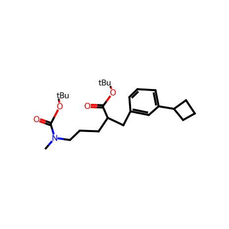 CN(CCCC(Cc1cccc(C2CCC2)c1)C(=O)OC(C)(C)C)C(=O)OC(C)(C)C